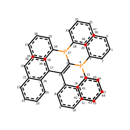 c1ccc(P(C(=C(c2cccc3ccccc23)c2cccc3ccccc23)P(c2ccccc2)c2ccccc2)c2ccccc2)cc1